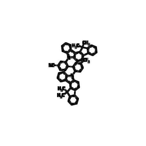 CC1(C)c2ccccc2-c2ccc3c(c21)c1ccccc1n3-c1ccc(C(F)(F)F)cc1-c1ccc(C#N)cc1-n1c2ccccc2c2c3c(ccc21)-c1ccccc1C3(C)C